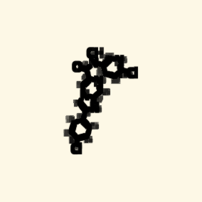 CN(C(=O)c1cn2cc(-c3ccc(Cl)cc3)nc2cn1)c1ccc(Cl)nc1